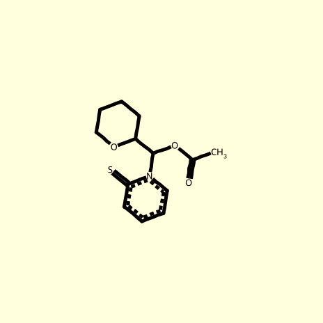 CC(=O)OC(C1CCCCO1)n1ccccc1=S